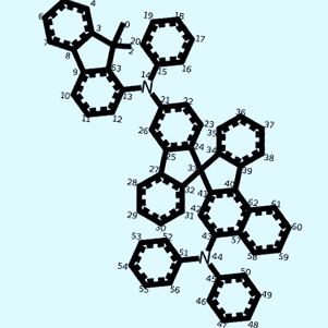 CC1(C)c2ccccc2-c2cccc(N(c3ccccc3)c3ccc4c(c3)-c3ccccc3C43c4ccccc4-c4c3cc(N(c3ccccc3)c3ccccc3)c3ccccc43)c21